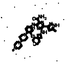 CCc1cc(Nc2nc(NC3CC4(CCOCC4)C3)c(-c3cc(C)[nH]n3)nc2C(N)=O)ccc1N1CCC(N2CCN(C)CC2)CC1